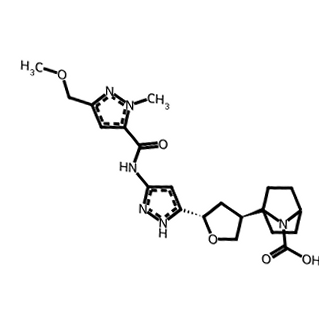 COCc1cc(C(=O)Nc2cc([C@@H]3C[C@@H](C45CCC(CC4)N5C(=O)O)CO3)[nH]n2)n(C)n1